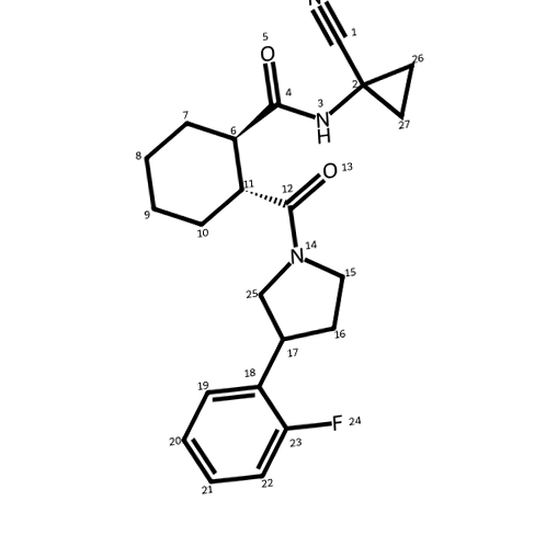 N#CC1(NC(=O)[C@@H]2CCCC[C@H]2C(=O)N2CCC(c3ccccc3F)C2)CC1